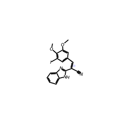 COc1cc(/C=C(/C#N)c2nc3ccccc3[nH]2)cc(I)c1OC